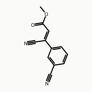 COC(=O)C=C(C#N)c1cccc(C#N)c1